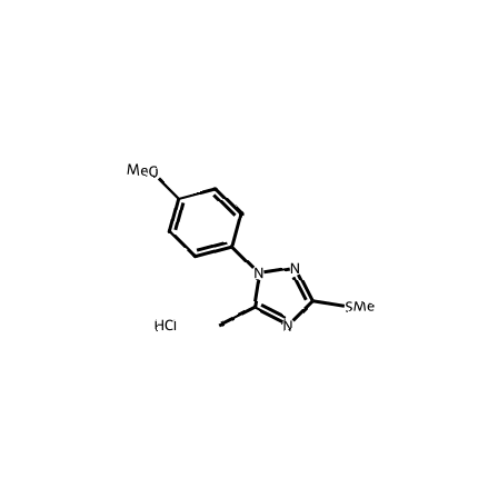 COc1ccc(-n2nc(SC)nc2C)cc1.Cl